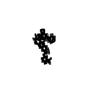 CN(C)c1nccc(CNc2ccc3c(c2)Sc2cccc(-c4cc(N5CCOCC5)cc(=O)[nH]4)c2S3)n1